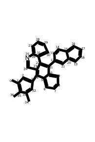 Cc1cc(-c2c3ccccc3c(-c3ccc4ccccc4c3)c3c2cnc2ccccc23)cc(C)c1C